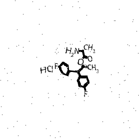 CC(N)C(=O)O[C@@H](C)C(c1ccc(F)cc1)c1ccc(F)cc1.Cl